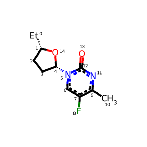 CC[C@H]1CC[C@@H](n2cc(F)c(C)nc2=O)O1